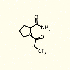 NC(=O)C1CCCN1C(=O)[CH]C(F)(F)F